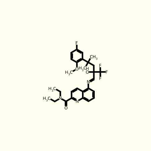 CCN(CC)C(=O)c1ccc2c(N=CC(O)(CC(C)(C)c3cc(F)ccc3OC)C(F)(F)F)cccc2n1